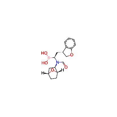 O=CN([C@H](C[C@H]1COc2ccccc21)B(O)O)[C@@H]1C[C@H]2CC[C@@H]1O2